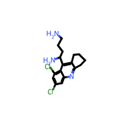 NCCCC(N)c1c2c(nc3cc(Cl)cc(Cl)c13)CCCC2